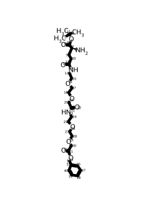 CC(C)(C)OC(=O)[C@@H](N)CCC(=O)NCCOCCOCC(=O)NCCOCCOCC(=O)OCc1ccccc1